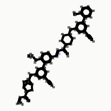 C=CC(=O)N1CC2CC1CC2Oc1cc(C#N)cc(-c2cc(/C=C/C(=O)N3CCC(Oc4cc(C#N)cc(-c5ccccc5Cl)c4)CC3)ccc2OC)c1